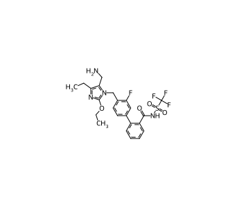 CCOc1nc(CC)c(CN)n1Cc1ccc(-c2ccccc2C(=O)NS(=O)(=O)C(F)(F)F)cc1F